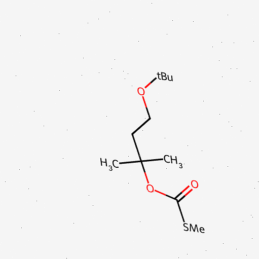 CSC(=O)OC(C)(C)CCOC(C)(C)C